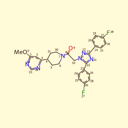 COc1cc(C2CCN(C(=O)Cn3nc(-c4ccc(F)cc4)nc3-c3ccc(F)cc3)CC2)ncn1